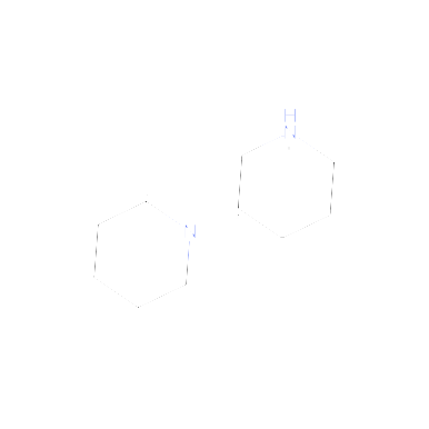 C1CCN([C@H]2CCCNC2)CC1